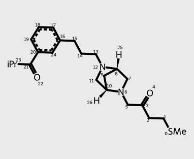 CSCCC(=O)CN1C[C@@H]2C[C@H]1CN2CCCc1cccc(C(=O)C(C)C)c1